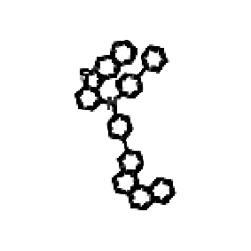 c1ccc(-c2ccc(N(c3ccc(-c4ccc5c(ccc6ccc7ccccc7c65)c4)cc3)c3cccc4sc5cc6ccccc6cc5c34)cc2)cc1